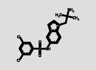 CC(C)(N)Cn1ccc2cc(NS(=O)(=O)c3cc(Cl)cc(Cl)c3)ccc21